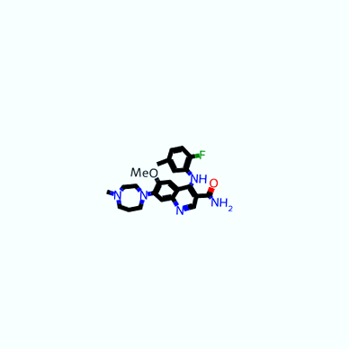 COc1cc2c(Nc3cc(C)ccc3F)c(C(N)=O)cnc2cc1N1CCCN(C)CC1